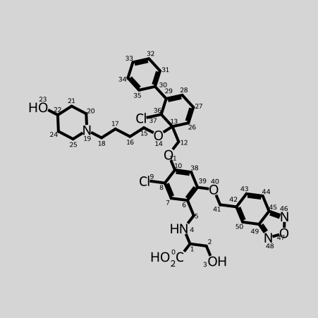 O=C(O)C(CO)NCc1cc(Cl)c(OCC2(OCCCCN3CCC(O)CC3)C=CC=C(c3ccccc3)C2Cl)cc1OCc1ccc2nonc2c1